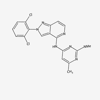 CNc1nc(C)cc(Nc2nccc3nn(-c4c(Cl)cccc4Cl)cc23)n1